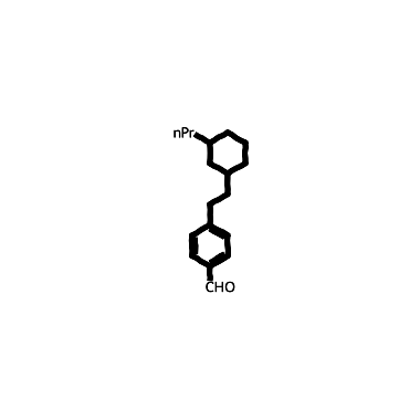 CCCC1CCCC(CCc2ccc(C=O)cc2)C1